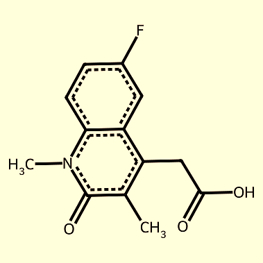 Cc1c(CC(=O)O)c2cc(F)ccc2n(C)c1=O